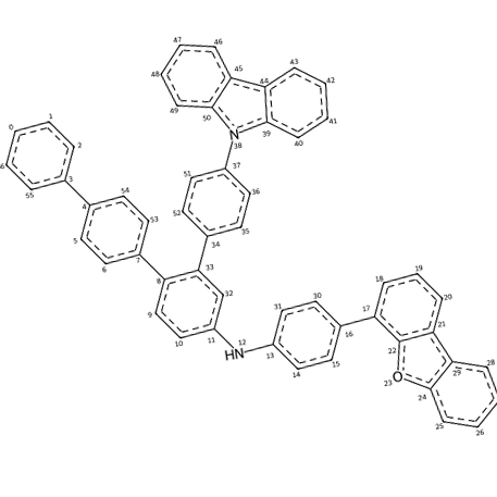 c1ccc(-c2ccc(-c3ccc(Nc4ccc(-c5cccc6c5oc5ccccc56)cc4)cc3-c3ccc(-n4c5ccccc5c5ccccc54)cc3)cc2)cc1